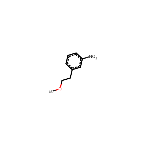 CCOCCc1cccc([N+](=O)[O-])c1